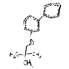 CC(C)(C)COc1cccc(-c2ccccc2)c1